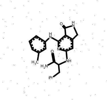 Cc1cccc(Nc2nc(NC(CC(C)C)C(N)=O)cc3c2C(=O)NC3)c1